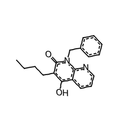 CCCCc1c(O)c2cccnc2n(Cc2ccccc2)c1=O